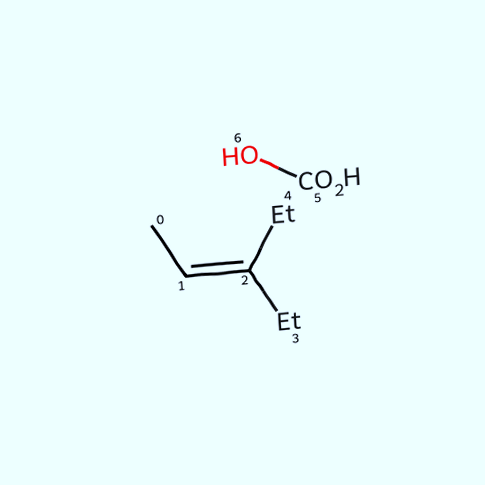 CC=C(CC)CC.O=C(O)O